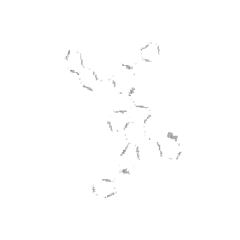 c1ccc(-c2ccc3c(c2)-c2cccc4c(-c5nc(-c6ccccc6)nc(-c6ccc7ccccc7c6)n5)ccc(c24)N3c2ccccc2)cc1